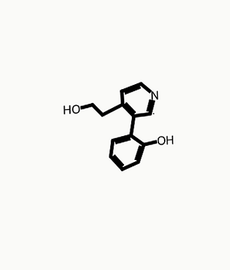 OCCc1ccn[c]c1-c1ccccc1O